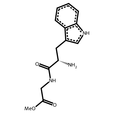 COC(=O)CNC(=O)[C@@H](N)Cc1c[nH]c2ccccc12